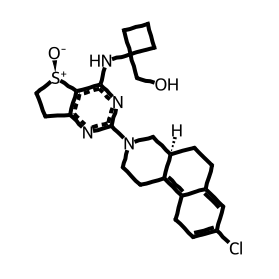 [O-][S@+]1CCc2nc(N3CCC4=C5CC=C(Cl)C=C5CC[C@@H]4C3)nc(NC3(CO)CCC3)c21